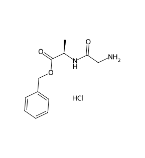 C[C@@H](NC(=O)CN)C(=O)OCc1ccccc1.Cl